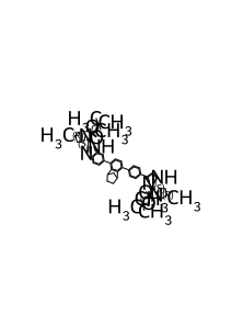 C[C@@H]1C[C@@H](c2nc(-c3ccc(-c4ccc(-c5ccc6nc([C@@H]7C[C@@H](C)CN7C(=O)OC(C)(C)C)[nH]c6c5)c5c4C4CCC5C4)cc3)c[nH]2)N(C(=O)OC(C)(C)C)C1